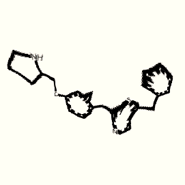 c1ccc(Cc2cnc(-c3ccc(OCC4CCCN4)cc3)s2)cc1